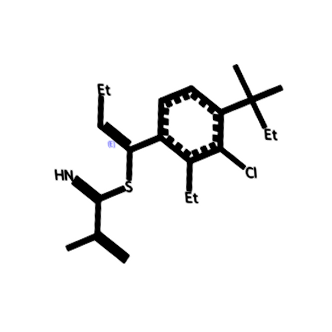 C=C(C)C(=N)S/C(=C/CC)c1ccc(C(C)(C)CC)c(Cl)c1CC